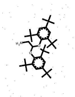 CC(C)(C)c1cc(C(C)(C)C)c(OC([CH2][AlH2])Oc2c(C(C)(C)C)cc(C(C)(C)C)cc2C(C)(C)C)c(C(C)(C)C)c1